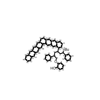 CCCCC(CC(CC(COc1ccccc1O)c1ccccc1)c1cccc2cc3cc4ccc5cc6cc7cc8ccccc8cc7cc6cc5c4cc3cc12)c1ccccc1